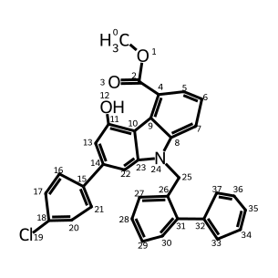 COC(=O)c1cccc2c1c1c(O)cc(-c3ccc(Cl)cc3)cc1n2Cc1ccccc1-c1ccccc1